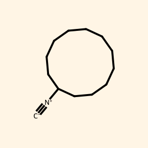 [C-]#[N+]C1CCCCCCCCCCC1